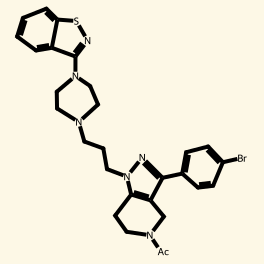 CC(=O)N1CCc2c(c(-c3ccc(Br)cc3)nn2CCCN2CCN(c3nsc4ccccc34)CC2)C1